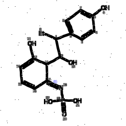 CCC(c1ccc(O)cc1)C(O)C1C(O)=CC=C/C1=N\P(=O)(O)O